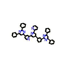 c1ccc(-c2cc(-c3ccnc(-c4cc(-c5cccc(-c6nc(-c7ccccc7)cc(-c7ccccc7)n6)c5)cc(-c5ccccn5)n4)c3)nc(-c3ccccc3)n2)cc1